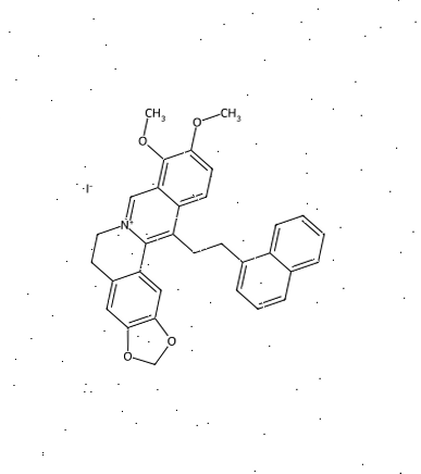 COc1ccc2c(CCc3cccc4ccccc34)c3[n+](cc2c1OC)CCc1cc2c(cc1-3)OCO2.[I-]